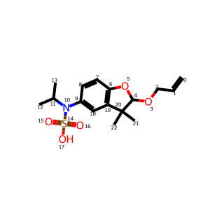 C=CCOC1Oc2ccc(N(C(C)C)S(=O)(=O)O)cc2C1(C)C